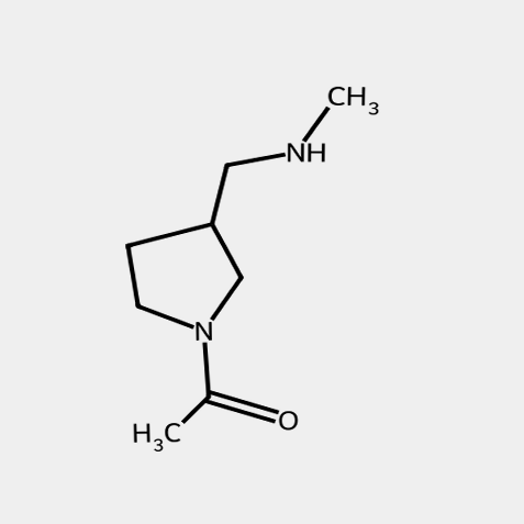 CNCC1CCN(C(C)=O)C1